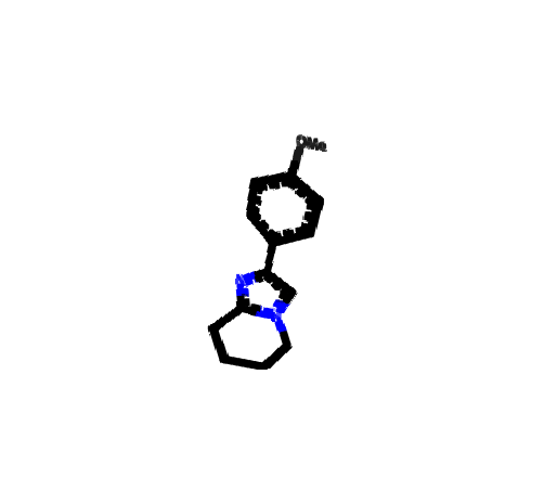 COc1ccc(-c2cn3c(n2)CCCC3)cc1